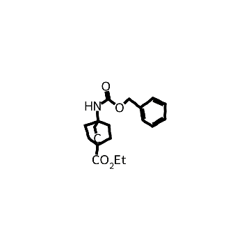 CCOC(=O)C12CCC(NC(=O)OCc3ccccc3)(CC1)CC2